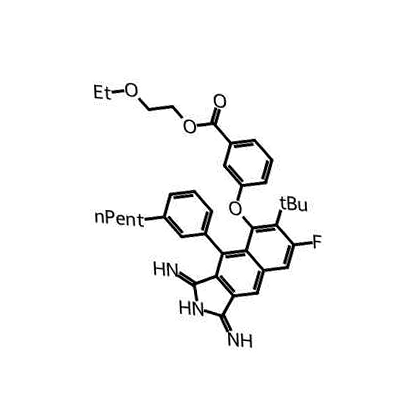 CCCCCc1cccc(-c2c3c(cc4cc(F)c(C(C)(C)C)c(Oc5cccc(C(=O)OCCOCC)c5)c24)C(=N)NC3=N)c1